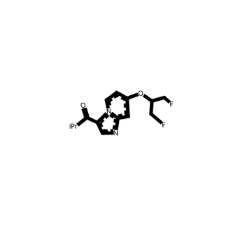 CC(C)C(=O)c1cnc2cc(OC(CF)CF)ccn12